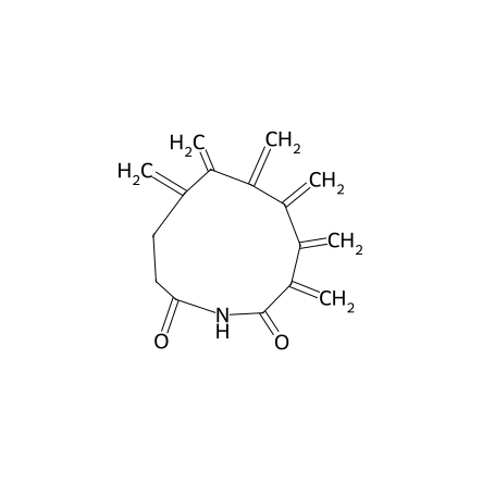 C=C1CCC(=O)NC(=O)C(=C)C(=C)C(=C)C(=C)C1=C